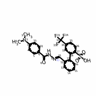 CN(C)c1ccc(C(=O)N/N=C/c2ccccc2-c2cc(C(F)(F)F)ccc2S(=O)(=O)O)cc1